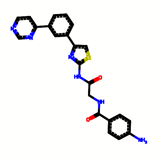 Nc1ccc(C(=O)NCC(=O)Nc2nc(-c3cccc(-c4ccncn4)c3)cs2)cc1